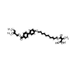 CCC(C)COC(=O)c1ccc(-c2ccc(OCCCCCCCCCCOC(=O)C(C)C(O)O)cc2)cc1